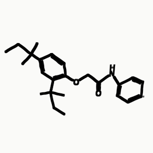 CCC(C)(C)c1ccc(OCC(=O)Nc2cc[c]cc2)c(C(C)(C)CC)c1